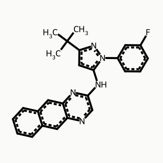 CC(C)(C)c1cc(Nc2cnc3cc4ccccc4cc3n2)n(-c2cccc(F)c2)n1